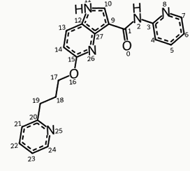 O=C(Nc1ccccn1)c1c[nH]c2ccc(OCCCc3ccccn3)nc12